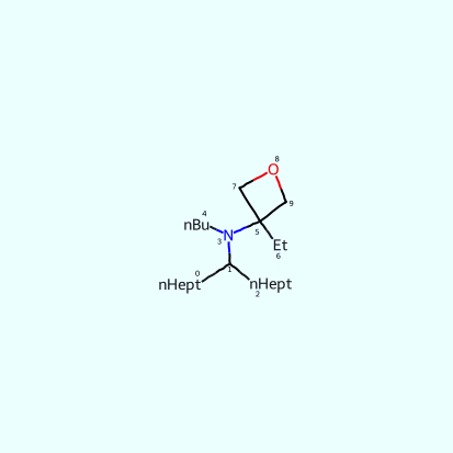 CCCCCCCC(CCCCCCC)N(CCCC)C1(CC)COC1